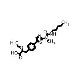 CCCCCNC(=O)N(C)c1ncc(-c2ccc(CC(OCC)C(=O)O)cc2)s1